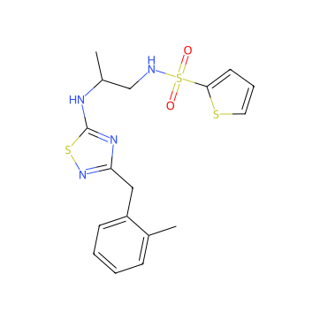 Cc1ccccc1Cc1nsc(NC(C)CNS(=O)(=O)c2cccs2)n1